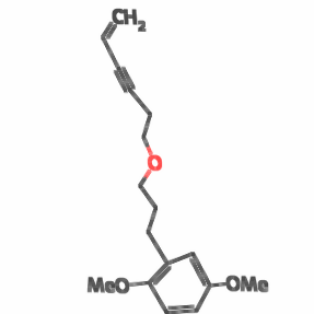 C=CC#CCCOCCCc1cc(OC)ccc1OC